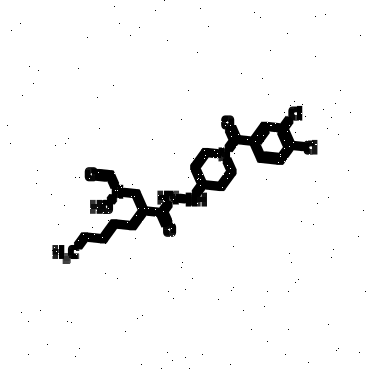 CCCCCC(CN(O)C=O)C(=O)NNC1CCN(C(=O)c2ccc(Cl)c(Cl)c2)CC1